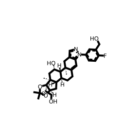 CC1(C)O[C@@H]2C[C@H]3[C@@H]4CCC5=Cc6c(cnn6-c6ccc(F)c(CO)c6)C[C@]5(C)[C@H]4[C@@H](O)C[C@]3(C)[C@]2(C(=O)CO)O1